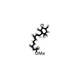 COC(=O)/C=C(/C)C=CC=C(C)C=CC1=C(C)C(=O)C(C)CC1(C)C